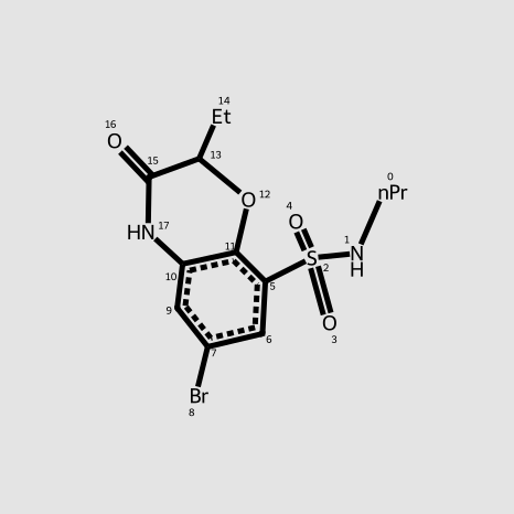 CCCNS(=O)(=O)c1cc(Br)cc2c1OC(CC)C(=O)N2